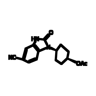 CC(=O)O[C@H]1CC[C@@H](n2c(=O)[nH]c3cc(C#N)ccc32)CC1